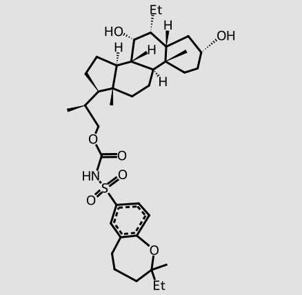 CC[C@H]1[C@@H](O)[C@@H]2[C@H](CC[C@]3(C)[C@@H]([C@H](C)COC(=O)NS(=O)(=O)c4ccc5c(c4)CCCC(C)(CC)O5)CC[C@@H]23)[C@@]2(C)CC[C@@H](O)C[C@@H]12